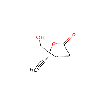 C#C[C@@]1(CO)CCC(=O)O1